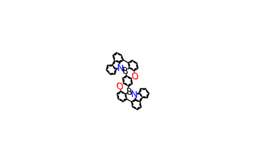 c1cc2c3c(c1)-c1cccc4c5ccccc5n(c14)B3c1cc3c(cc1O2)B1c2c(cccc2-c2cccc4c5ccccc5n1c24)O3